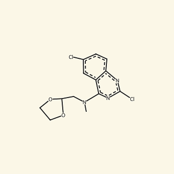 CN(CC1OCCO1)c1nc(Cl)nc2ccc(Cl)cc12